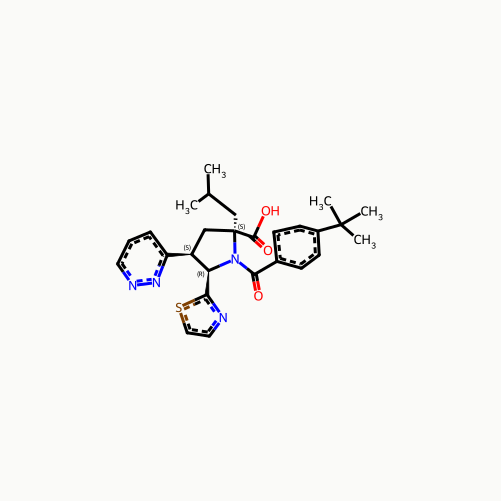 CC(C)C[C@@]1(C(=O)O)C[C@H](c2cccnn2)[C@H](c2nccs2)N1C(=O)c1ccc(C(C)(C)C)cc1